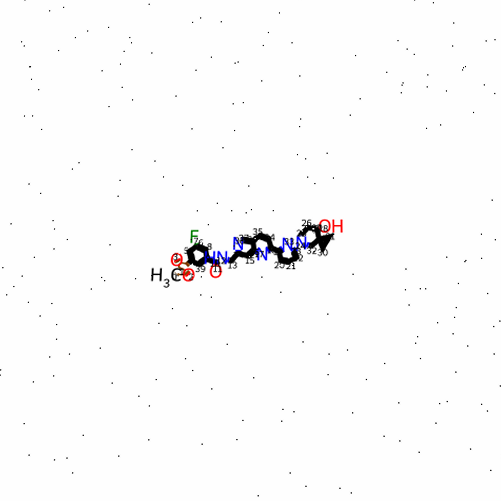 CS(=O)(=O)c1cc(F)cc(C(=O)NCc2cc3nc(-c4cccc(N5CC[C@@H](O)C6(CC6)C5)n4)ccc3cn2)c1